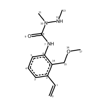 C=Cc1cccc(NC(=O)N(C)NC)c1COC